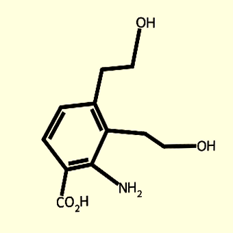 Nc1c(C(=O)O)ccc(CCO)c1CCO